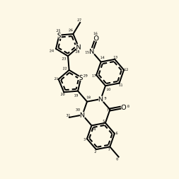 Cc1ccc2c(c1)C(=O)N(c1cccc(N=O)c1)C(c1ccc(-c3csc(C)n3)s1)N2C